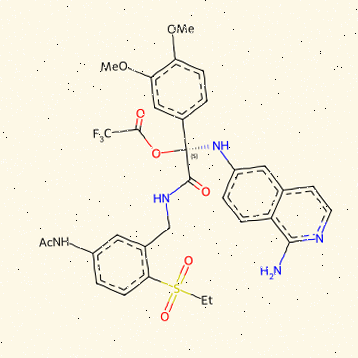 CCS(=O)(=O)c1ccc(NC(C)=O)cc1CNC(=O)[C@@](Nc1ccc2c(N)nccc2c1)(OC(=O)C(F)(F)F)c1ccc(OC)c(OC)c1